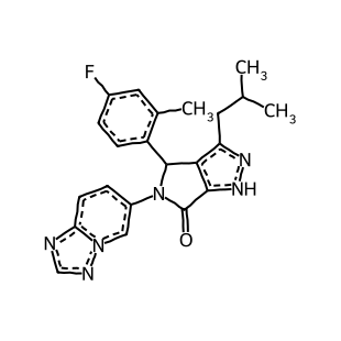 Cc1cc(F)ccc1C1c2c(CC(C)C)n[nH]c2C(=O)N1c1ccc2ncnn2c1